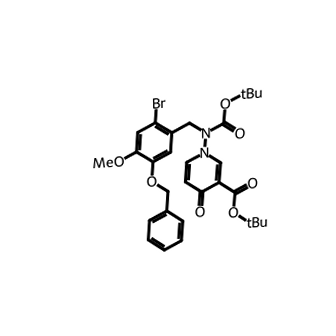 COc1cc(Br)c(CN(C(=O)OC(C)(C)C)n2ccc(=O)c(C(=O)OC(C)(C)C)c2)cc1OCc1ccccc1